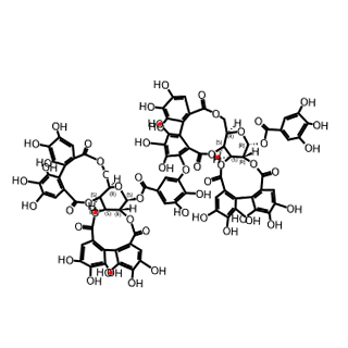 O=C(O[C@@H]1O[C@@H]2COC(=O)c3cc(O)c(O)c(O)c3-c3c(cc(O)c(O)c3O)C(=O)O[C@@H]2[C@@H]2OC(=O)c3cc(O)c(O)c(O)c3-c3c(cc(O)c(O)c3O)C(=O)O[C@@H]12)c1cc(O)c(O)c(Oc2c(O)c(O)c(O)c3c2C(=O)O[C@@H]2[C@@H]4OC(=O)c5cc(O)c(O)c(O)c5-c5c(cc(O)c(O)c5O)C(=O)O[C@H]4[C@@H](OC(=O)c4cc(O)c(O)c(O)c4)O[C@@H]2COC(=O)c2cc(O)c(O)c(O)c2-3)c1